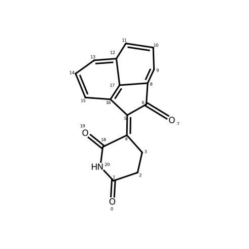 O=C1CC/C(=c2\c(=O)c3cccc4cccc2c43)C(=O)N1